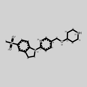 CS(=O)(=O)c1ccc2c(c1)CCN2c1ccc(COC2CCNCC2)cn1